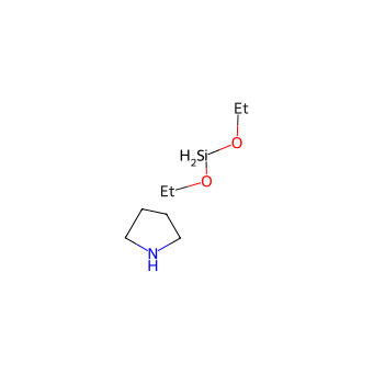 C1CCNC1.CCO[SiH2]OCC